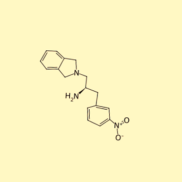 N[C@H](Cc1cccc([N+](=O)[O-])c1)CN1Cc2ccccc2C1